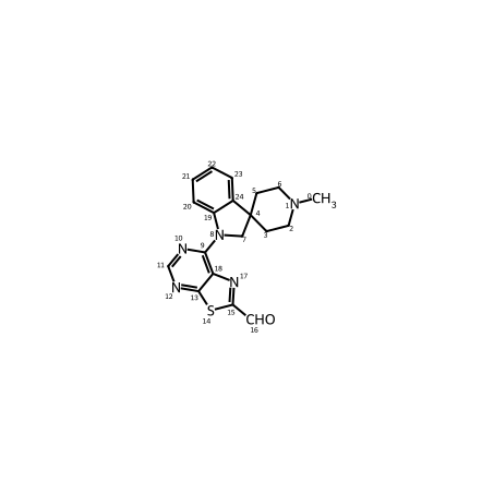 CN1CCC2(CC1)CN(c1ncnc3sc(C=O)nc13)c1ccccc12